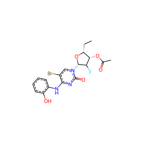 CC[C@H]1O[C@@H](n2cc(Br)c(Nc3ccccc3O)nc2=O)C(F)[C@H]1OC(C)=O